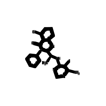 C[C@H](Nc1ncnc(N)c1I)c1nc2cccc(Cl)c2c(=O)n1-c1ccccc1